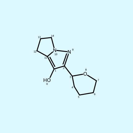 Oc1c(C2CCCCO2)nn2c1CCC2